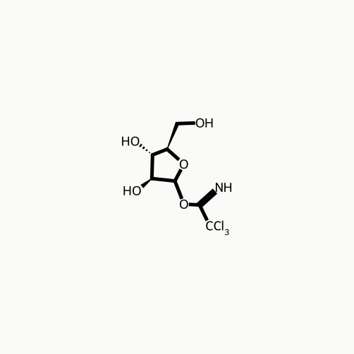 N=C(OC1O[C@H](CO)[C@@H](O)[C@@H]1O)C(Cl)(Cl)Cl